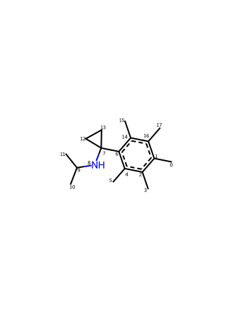 Cc1c(C)c(C)c(C2(NC(C)C)CC2)c(C)c1C